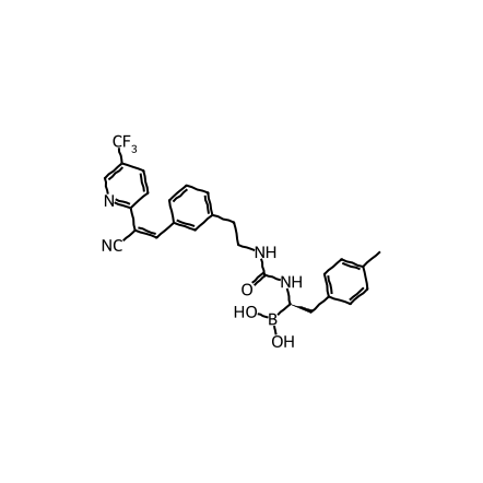 Cc1ccc(C[C@H](NC(=O)NCCc2cccc(C=C(C#N)c3ccc(C(F)(F)F)cn3)c2)B(O)O)cc1